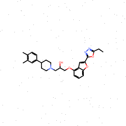 CCc1nnc(-c2cc3c(OCC(O)CN4CCC(c5ccc(C)c(C)c5)CC4)cccc3o2)o1